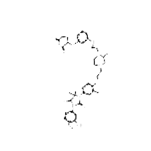 CC1CN(CCOc2ccc(N3C(=S)N(c4ccc(C#N)c(C(F)(F)F)c4)C(=O)C3(C)C)cc2F)CCN1CC(=O)Nc1cccc(NC2CCC(=O)NC2=O)c1